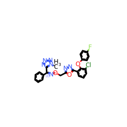 Cn1nnnc1/C(=N\OCc1nnc(-c2cccc(Cl)c2Oc2ccc(F)cc2)o1)c1ccccc1